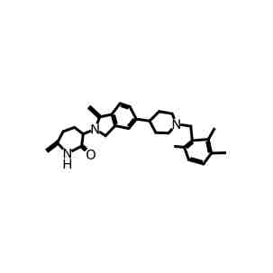 C=C1CCC(N2Cc3cc(C4CCN(Cc5c(C)ccc(C)c5C)CC4)ccc3C2=C)C(=O)N1